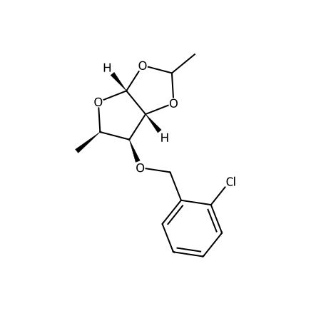 CC1O[C@H]2O[C@H](C)[C@H](OCc3ccccc3Cl)[C@H]2O1